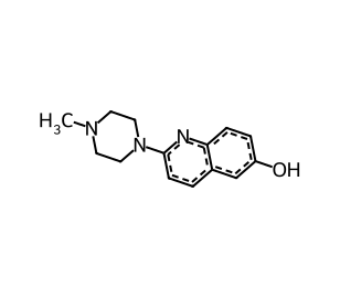 CN1CCN(c2ccc3cc(O)ccc3n2)CC1